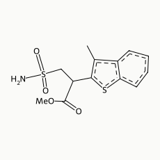 COC(=O)C(CS(N)(=O)=O)c1sc2ccccc2c1C